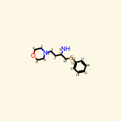 [NH][C@H](CCN1CCOCC1)CSc1ccccc1